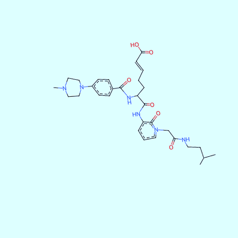 CC(C)CCNC(=O)Cn1cccc(NC(=O)C(CCC=CC(=O)O)NC(=O)c2ccc(N3CCN(C)CC3)cc2)c1=O